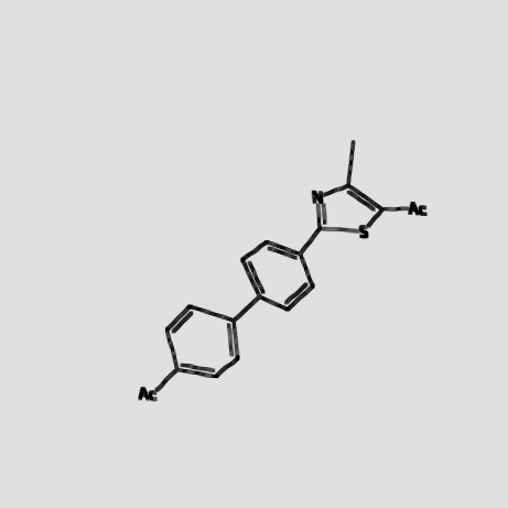 CC(=O)c1ccc(-c2ccc(-c3nc(C)c(C(C)=O)s3)cc2)cc1